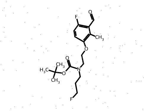 Cc1c(OCCN(CCCF)C(=O)OC(C)(C)C)ccc(F)c1C=O